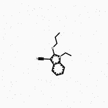 CCCOc1c(C#N)c2ccccc2n1CC